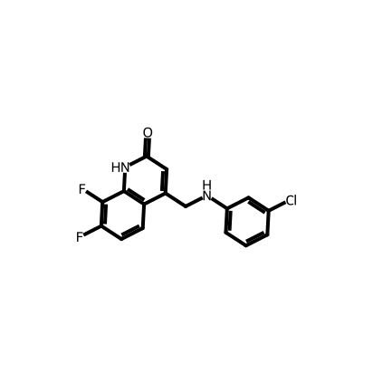 O=c1cc(CNc2cccc(Cl)c2)c2ccc(F)c(F)c2[nH]1